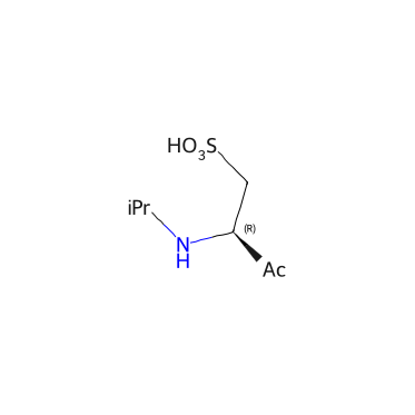 CC(=O)[C@H](CS(=O)(=O)O)NC(C)C